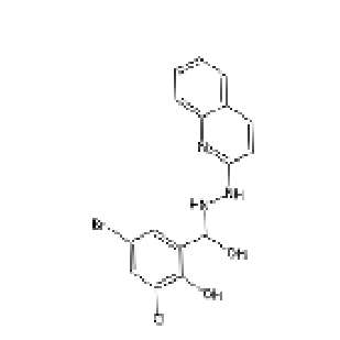 Oc1c(Cl)cc(Br)cc1C(O)NNc1ccc2ccccc2n1